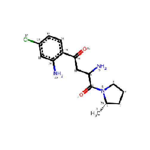 C[C@H]1CCCN1C(=O)C(N)CC(=O)c1ccc(Cl)cc1N